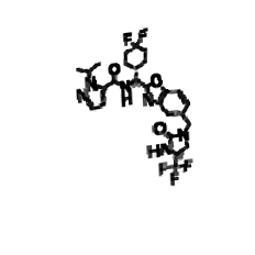 CC(C)n1nccc1C(=O)N[C@H](c1nc2cc(CN3C[C@@H](C(F)(F)F)NC3=O)ccc2o1)C1CCC(F)(F)CC1